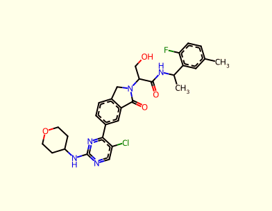 Cc1ccc(F)c(C(C)NC(=O)C(CO)N2Cc3ccc(-c4nc(NC5CCOCC5)ncc4Cl)cc3C2=O)c1